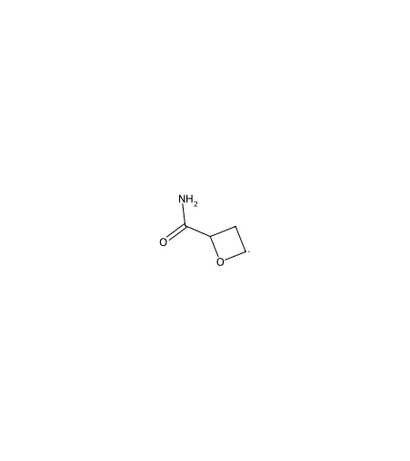 NC(=O)C1C[CH]O1